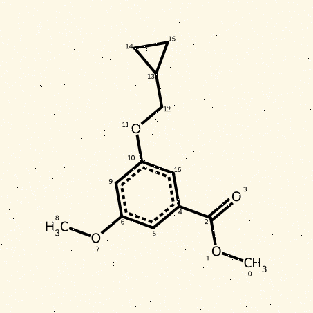 COC(=O)c1cc(OC)cc(OCC2CC2)c1